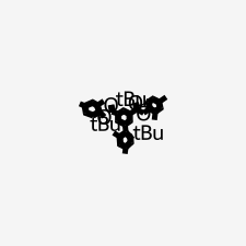 Cc1cc(C)c(OC(=O)c2cc(C(=O)Oc3c(C)cc(C)cc3C(C)(C)C)cc(-c3c(C)cc(C)cc3C(C)(C)C)c2)c(C(C)(C)C)c1